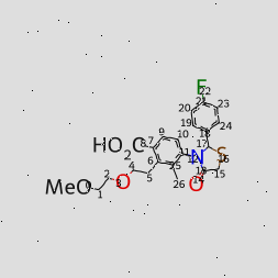 COCCOCCc1c(C(=O)O)ccc(N2C(=O)CSC2c2ccc(F)cc2)c1C